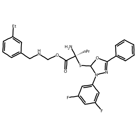 CCC[C@](N)(SC1OC(c2ccccc2)=NN1c1cc(F)cc(F)c1)C(=O)OCNCc1cccc(CC)c1